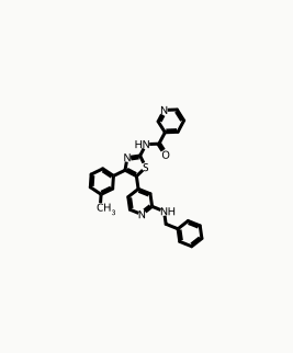 Cc1cccc(-c2nc(NC(=O)c3cccnc3)sc2-c2ccnc(NCc3ccccc3)c2)c1